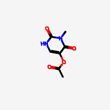 CC(=O)Oc1c[nH]c(=O)n(C)c1=O